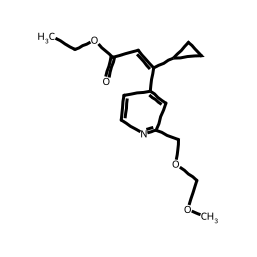 CCOC(=O)/C=C(\c1ccnc(COCOC)c1)C1CC1